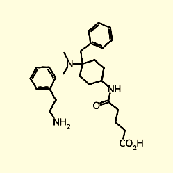 CN(C)C1(Cc2ccccc2)CCC(NC(=O)CCCC(=O)O)CC1.NCCc1ccccc1